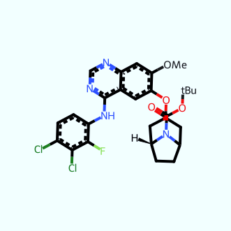 COc1cc2ncnc(Nc3ccc(Cl)c(Cl)c3F)c2cc1OC1CC2CC[C@H](C1)N2C(=O)OC(C)(C)C